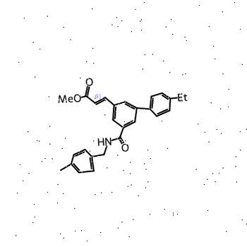 CCc1ccc(-c2cc(/C=C/C(=O)OC)cc(C(=O)NCc3ccc(C)cc3)c2)cc1